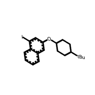 CC(C)(C)C1CCC(Oc2cc(I)c3ccccc3c2)CC1